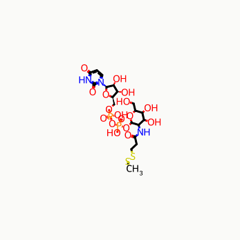 CSSCCC(=O)NC1C(OP(=O)(O)OP(=O)(O)OC[C@H]2O[C@@H](n3ccc(=O)[nH]c3=O)[C@@H](O)[C@H]2O)OC(CO)C(O)C1O